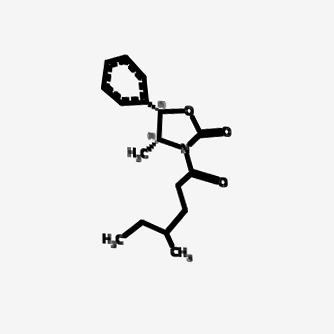 CCC(C)CCC(=O)N1C(=O)O[C@@H](c2ccccc2)[C@H]1C